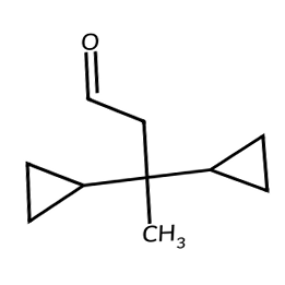 CC(CC=O)(C1CC1)C1CC1